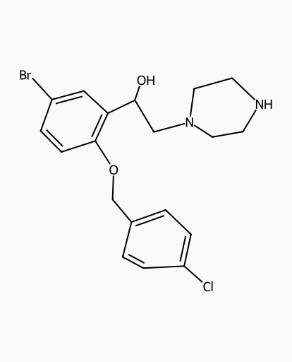 OC(CN1CCNCC1)c1cc(Br)ccc1OCc1ccc(Cl)cc1